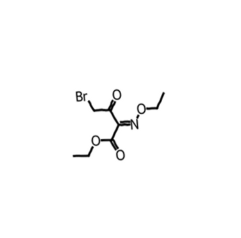 CCO/N=C(\C(=O)CBr)C(=O)OCC